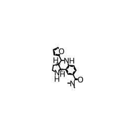 CN(C)C(=O)c1ccc2c(c1)[C@H]1NCC[C@H]1C(c1ccco1)N2